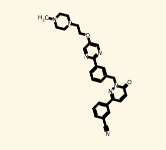 CN1CCN(CCOc2cnc(-c3cccc(Cn4nc(-c5cccc(C#N)c5)ccc4=O)c3)nc2)CC1